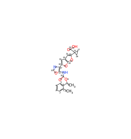 Cc1ccccc1C(C)OC(=O)Nc1ocnc1-c1cc2cc(C3(C(=O)O)CC3)oc2o1